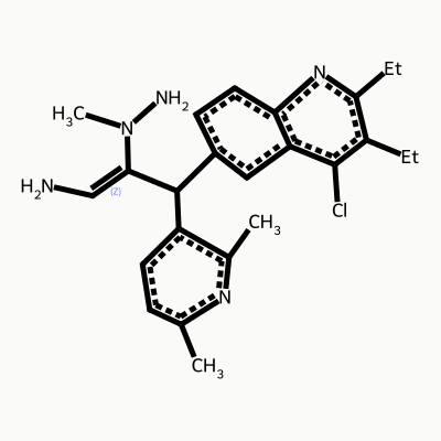 CCc1nc2ccc(C(/C(=C/N)N(C)N)c3ccc(C)nc3C)cc2c(Cl)c1CC